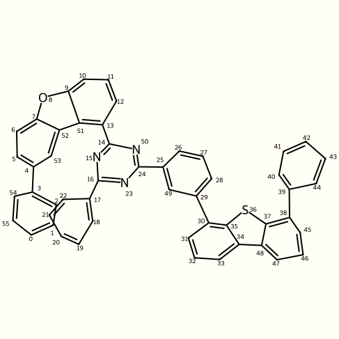 c1ccc(-c2ccc3oc4cccc(-c5nc(-c6ccccc6)nc(-c6cccc(-c7cccc8c7sc7c(-c9ccccc9)cccc78)c6)n5)c4c3c2)cc1